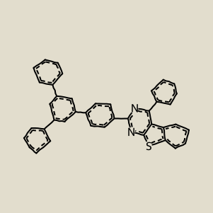 c1ccc(-c2cc(-c3ccccc3)cc(-c3ccc(-c4nc(-c5ccccc5)c5c(n4)sc4ccccc45)cc3)c2)cc1